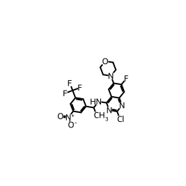 CC(Nc1nc(Cl)nc2cc(F)c(N3CCOCC3)cc12)c1cc([N+](=O)[O-])cc(C(F)(F)F)c1